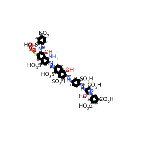 Nc1c(N=Nc2ccc3c(O)c(N=Nc4ccc(N=Nc5c(C(=O)O)nn(-c6cc(C(=O)O)cc(C(=O)O)c6)c5O)c(S(=O)(=O)O)c4)c(S(=O)(=O)O)cc3c2S(=O)(=O)O)cc(S(=O)(=O)O)c2cc(SOOO)c(N=Nc3ccc([N+](=O)[O-])cc3S(=O)(=O)O)c(O)c12